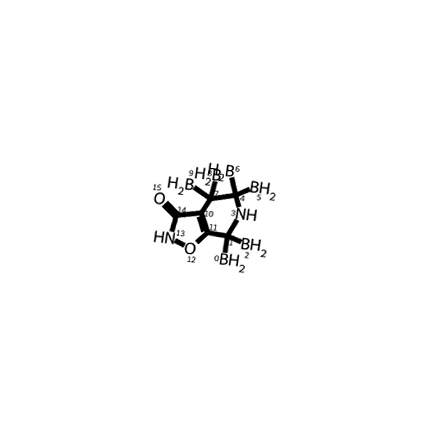 BC1(B)NC(B)(B)C(B)(B)c2c1o[nH]c2=O